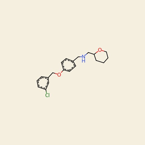 Clc1cccc(COc2ccc(CNCC3CCCCO3)cc2)c1